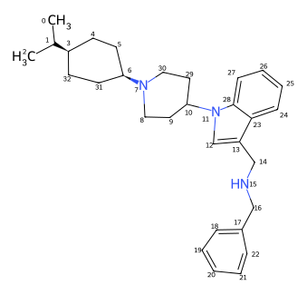 CC(C)[C@H]1CC[C@@H](N2CCC(n3cc(CNCc4ccccc4)c4ccccc43)CC2)CC1